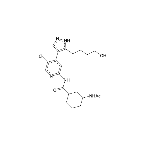 CC(=O)NC1CCCC(C(=O)Nc2cc(-c3cn[nH]c3CCCCO)c(Cl)cn2)C1